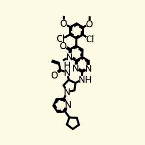 C=CC(=O)NC1CN(c2cccc(C3CCCC3)n2)CC1Nc1ncc2cc(-c3c(Cl)c(OC)cc(OC)c3Cl)c(=O)n(C)c2n1